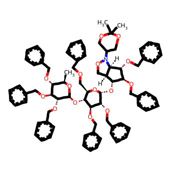 C[C@H]1O[C@@H](O[C@H]2[C@H](OCc3ccccc3)[C@@H](OCc3ccccc3)[C@@H](O[C@@H]3[C@H]4CON(C5COC(C)(C)OC5)[C@H]4[C@H](OCc4ccccc4)[C@H]3OCc3ccccc3)O[C@@H]2COCc2ccccc2)[C@H](OCc2ccccc2)[C@@H](OCc2ccccc2)[C@@H]1OCc1ccccc1